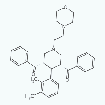 Cc1cccc([C@@H]2[C@@H](C(=O)c3ccccc3)CN(CCN3CCOCC3)C[C@H]2C(=O)c2ccccc2)c1C